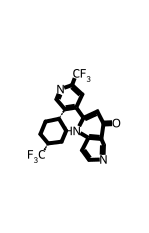 O=c1cc(-c2cc(C(F)(F)F)ncc2[C@H]2CC[C@@H](C(F)(F)F)CC2)[nH]c2ccncc12